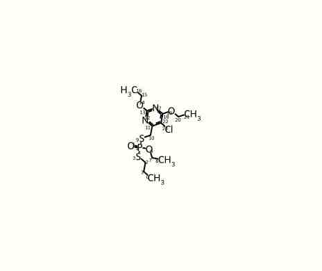 CCCSP(=O)(OCC)SCc1nc(OCC)nc(OCC)c1Cl